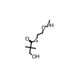 CPOCCSC(=O)C(C)(C)CO